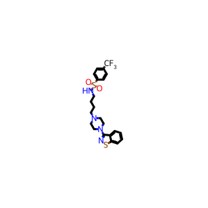 O=S(=O)(NCCCCN1CCN(c2nsc3ccccc23)CC1)c1ccc(C(F)(F)F)cc1